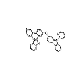 c1ccc(-n2c3ccccc3c3ccc(Oc4ccc5c6cnccc6n6c7ccccc7nc6c5c4)cc32)nc1